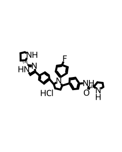 Cl.O=C(Nc1ccc(C2CCC(c3ccc(-c4c[nH]c([C@@H]5CCCN5)n4)cc3)N2c2ccc(F)cc2)cc1)[C@@H]1CCCN1